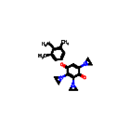 Cc1cccc(C)[c]1[AlH2].O=C1C=C(N2CC2)C(=O)C(N2CC2)=C1N1CC1